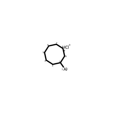 Cl.[Al][CH]1CCCCCCC1